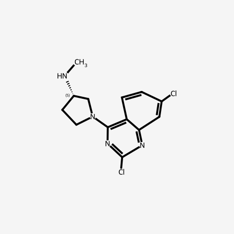 CN[C@H]1CCN(c2nc(Cl)nc3cc(Cl)ccc23)C1